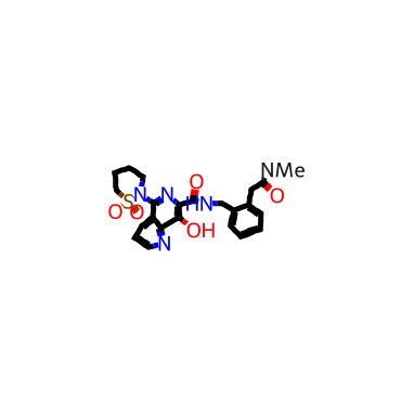 CNC(=O)Cc1ccccc1CNC(=O)c1nc(N2CCCCS2(=O)=O)c2cccnc2c1O